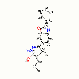 CCCC1C(=O)NN=C(c2ccc3nc(-c4ccccc4)oc3c2)C1C